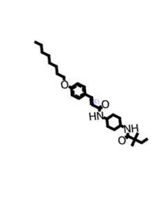 CCCCCCCCOc1ccc(/C=C/C(=O)NC2CCC(NC(=O)C(C)(C)CC)CC2)cc1